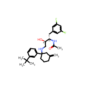 C=C1CCCC(NC[C@@H](O)[C@H](Cc2cc(F)cc(F)c2)NC(C)=O)(c2cccc(C(C)(C)C)c2)C1